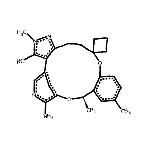 Cc1ccc2c(c1)[C@@H](C)Oc1cc(cnc1N)-c1c(nn(C)c1C#N)CCC1(CCC1)O2